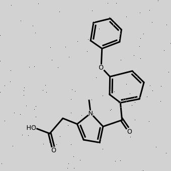 Cn1c(CC(=O)O)ccc1C(=O)c1cccc(Oc2ccccc2)c1